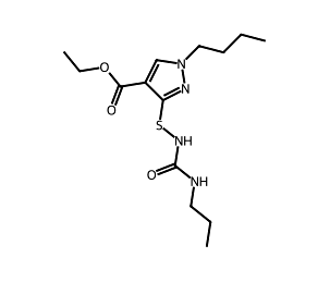 CCCCn1cc(C(=O)OCC)c(SNC(=O)NCCC)n1